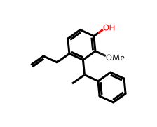 C=CCc1ccc(O)c(OC)c1C(C)c1ccccc1